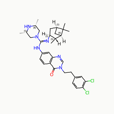 C[C@@H]1[C@@H](N=C(Nc2ccc3c(=O)n(CCc4ccc(Cl)c(Cl)c4)cnc3c2)N2C[C@@H](C)N[C@@H](C)C2)C[C@@H]2C[C@H]1C2(C)C